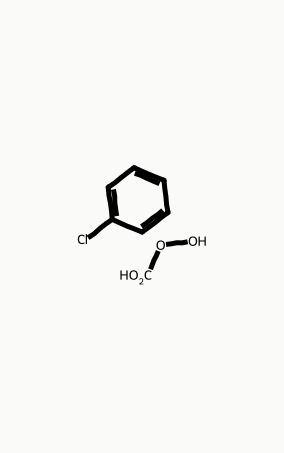 Clc1ccccc1.O=C(O)OO